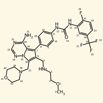 COCCNCc1c(-c2ccc(NC(=O)Nc3cc(C(F)(F)F)ccc3F)cc2)c2c(N)ncnn2c1CN1CCOCC1